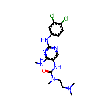 CNc1nc(Nc2ccc(Cl)c(Cl)c2)ncc1NC(=O)N(C)CCN(C)C